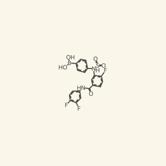 O=C(Nc1ccc(F)c(F)c1)c1ccc(F)c(N(c2ccc(B(O)O)cc2)[SH](=O)=O)c1